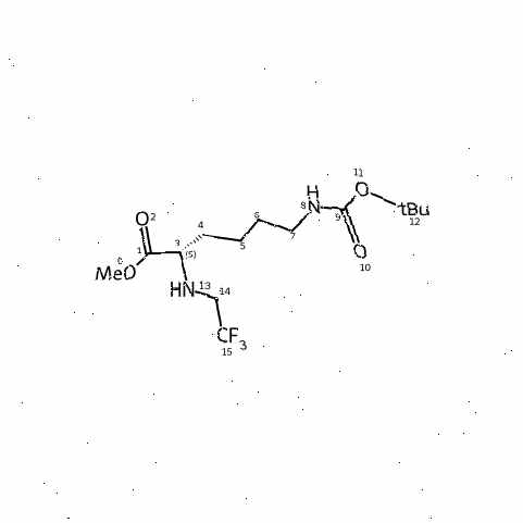 COC(=O)[C@H](CCCCNC(=O)OC(C)(C)C)NCC(F)(F)F